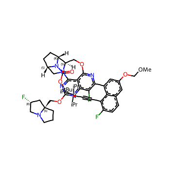 COCOc1cc(-c2nc3c4c(nc(OC[C@@]56CCCN5C[C@H](F)C6)nc4c2F)N2C[C@@H]4CC[C@H]([C@H]2CO3)N4C(=O)OC(C)(C)C)c2c(C#C[Si](C(C)C)(C(C)C)C(C)C)c(F)ccc2c1